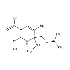 CNC1(CCN(C)C)NC(OC)=C([N+](=O)[O-])C=C1N